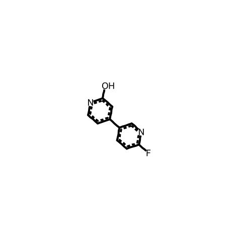 Oc1cc(-c2ccc(F)nc2)ccn1